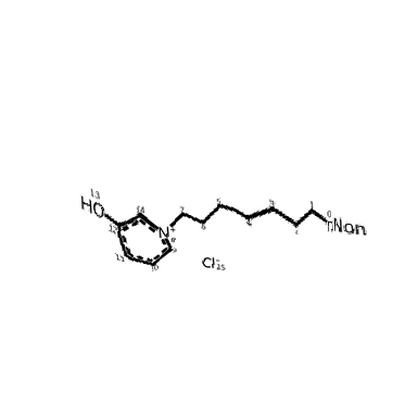 CCCCCCCCCCCCCCCC[n+]1cccc(O)c1.[Cl-]